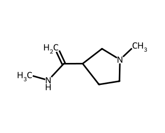 C=C(NC)C1CCN(C)C1